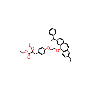 CCOC(=O)C(Cc1ccc(OCCOC2c3ccc(CC)cc3C=Cc3ccc(C(C)c4ccccc4)cc32)cc1)OCC